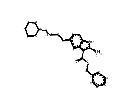 Cc1[nH]c2ccc(CCNCC3CCCCC3)cc2c1C(=O)OCc1ccccc1